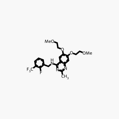 COCCOc1cc2nc(C)nc(NCc3cccc(C(F)(F)F)c3F)c2cc1OCCOC